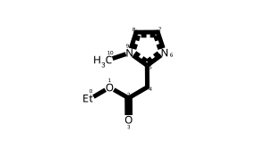 CCOC(=O)Cc1nccn1C